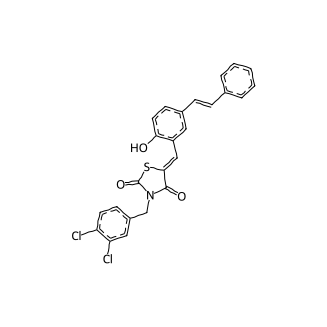 O=C1S/C(=C\c2cc(/C=C/c3ccccc3)ccc2O)C(=O)N1Cc1ccc(Cl)c(Cl)c1